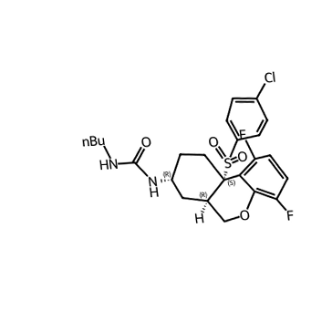 CCCCNC(=O)N[C@@H]1CC[C@@]2(S(=O)(=O)c3ccc(Cl)cc3)c3c(F)ccc(F)c3OC[C@H]2C1